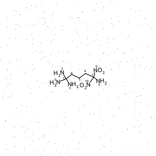 NC(N)(N)CCCC(N)([N+](=O)[O-])[N+](=O)[O-]